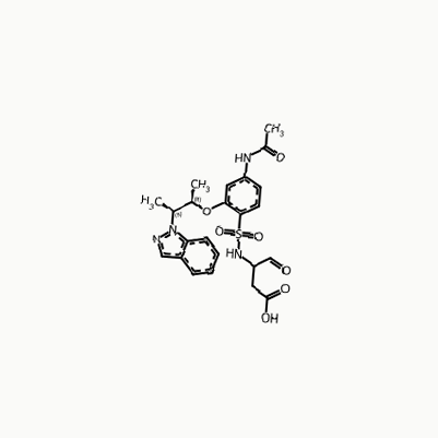 CC(=O)Nc1ccc(S(=O)(=O)NC(C=O)CC(=O)O)c(O[C@H](C)[C@H](C)n2ncc3ccccc32)c1